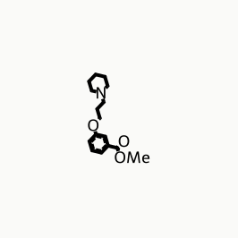 COC(=O)c1cccc(OCCCN2CCCCC2)c1